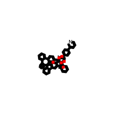 CC1(C)c2ccccc2-c2cc3c(cc21)-c1ccccc1C31c2ccccc2-c2ccccc2-c2ccc(-c3nc(-c4ccccc4)nc(-c4ccc(-c5cccnc5)cc4)n3)cc21